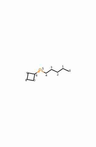 CCCCC[P]C1CCC1